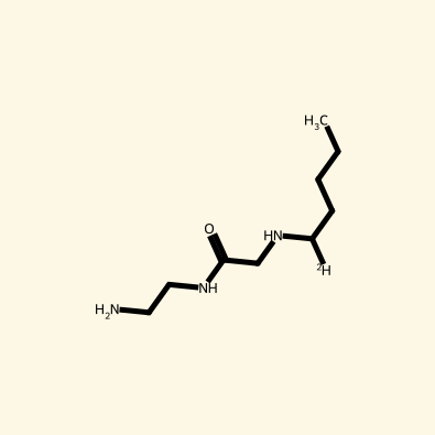 [2H]C(CCCC)NCC(=O)NCCN